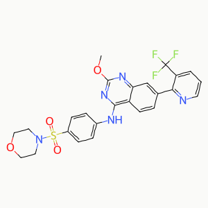 COc1nc(Nc2ccc(S(=O)(=O)N3CCOCC3)cc2)c2ccc(-c3ncccc3C(F)(F)F)cc2n1